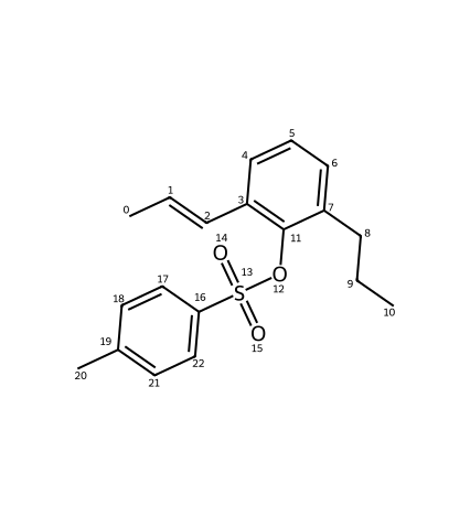 CC=Cc1cccc(CCC)c1OS(=O)(=O)c1ccc(C)cc1